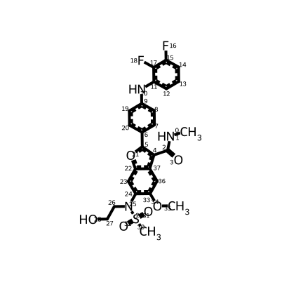 CNC(=O)c1c(-c2ccc(Nc3cccc(F)c3F)cc2)oc2cc(N(CCO)S(C)(=O)=O)c(OC)cc12